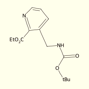 CCOC(=O)c1ncccc1CNC(=O)OC(C)(C)C